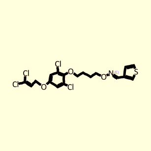 ClC(Cl)=CCOc1cc(Cl)c(OCCCCO/N=C/c2ccsc2)c(Cl)c1